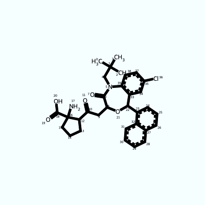 CC(C)(C)CN1C(=O)C(CC(=O)C2CCCC2(N)C(=O)O)OC(c2cccc3ccccc23)c2cc(Cl)ccc21